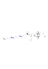 CC(C)=CCC/C(C)=C/CC/C(C)=C/COC(=O)NCCCC(N)(C(=O)O)C(F)F